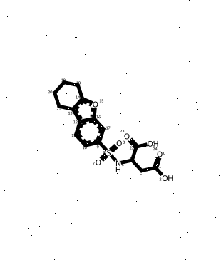 O=C(O)CC(NS(=O)(=O)c1ccc2c3c(oc2c1)CCCC3)C(=O)O